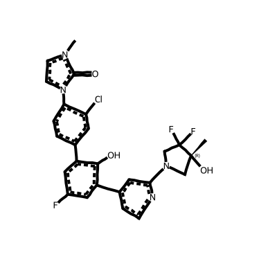 Cn1ccn(-c2ccc(-c3cc(F)cc(-c4ccnc(N5CC(F)(F)[C@](C)(O)C5)c4)c3O)cc2Cl)c1=O